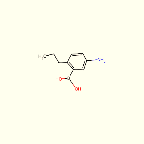 CCCc1ccc(N)cc1B(O)O